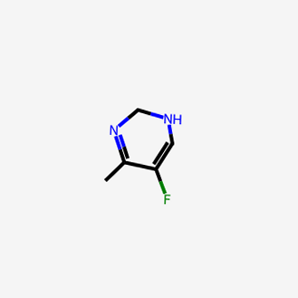 CC1=NCNC=C1F